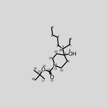 CCCC[C@@H](CC)C1(O)CCN(C(=O)OC(C)(C)C)CC1